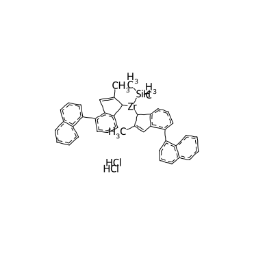 CC1=Cc2c(-c3cccc4ccccc34)cccc2[CH]1[Zr]([CH]1C(C)=Cc2c(-c3cccc4ccccc34)cccc21)[SiH](C)C.Cl.Cl